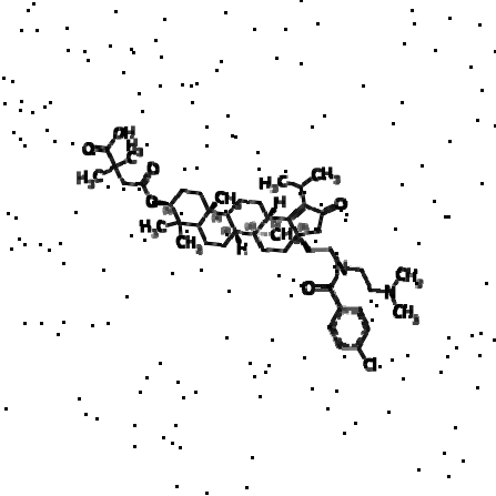 CC(C)C1=C2[C@H]3CCC4[C@@H](CCC5C(C)(C)[C@@H](OC(=O)CC(C)(C)C(=O)O)CC[C@]45C)[C@]3(C)CC[C@@]2(CCN(CCN(C)C)C(=O)c2ccc(Cl)cc2)CC1=O